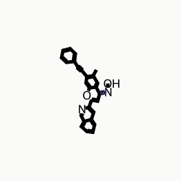 Cc1cc2/c(=N\O)cc(-c3cc4ccccc4cn3)oc2cc1C#Cc1ccccc1